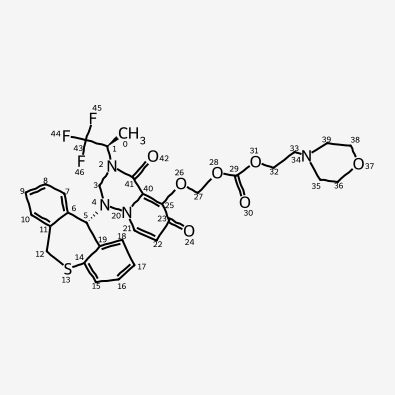 C[C@@H](N1CN([C@H]2c3ccccc3CSc3ccccc32)n2ccc(=O)c(OCOC(=O)OCCN3CCOCC3)c2C1=O)C(F)(F)F